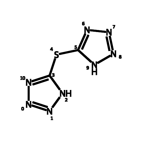 n1n[nH]c(Sc2nnn[nH]2)n1